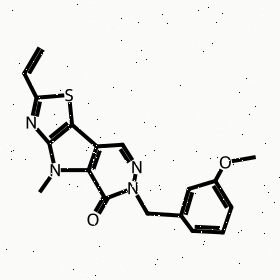 C=Cc1nc2c(s1)c1cnn(Cc3cccc(OC)c3)c(=O)c1n2C